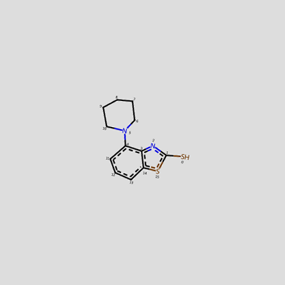 Sc1nc2c(N3CCCCC3)cccc2s1